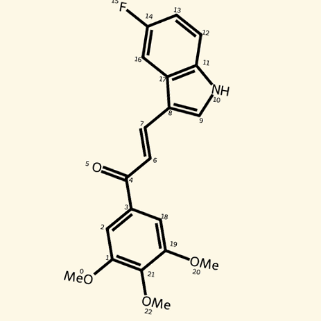 COc1cc(C(=O)C=Cc2c[nH]c3ccc(F)cc23)cc(OC)c1OC